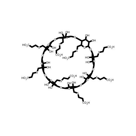 O=C(O)CCSCC1OC2OC3C(CSCCC(=O)O)OC(OC4C(CSCCC(=O)O)OC(OC5C(CSCCC(=O)O)OC(OC6C(CSCCC(=O)O)OC(OC7C(CSCCC(=O)O)OC(OC8C(CSCCC(=O)O)OC(OC9C(CSCCC(=O)O)OC(OC1C(O)C2O)C(O)C9O)C(O)C8O)C(O)C7O)C(O)C6O)C(O)C5O)C(O)C4O)C(O)C3O